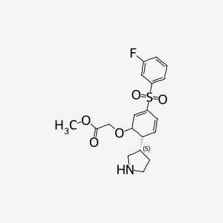 COC(=O)COC1C=C(S(=O)(=O)c2cccc(F)c2)C=CC1[C@@H]1CCNC1